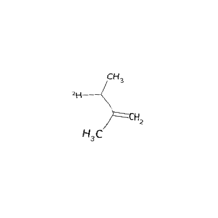 [2H]C(C)C(=C)C